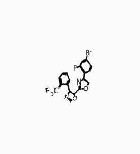 Fc1cc(Br)ccc1C1COC(C2O[C]=NC2c2ccccc2C(F)(F)F)=N1